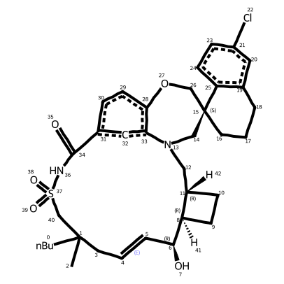 CCCCC1(C)C/C=C/[C@H](O)[C@@H]2CC[C@H]2CN2C[C@@]3(CCCc4cc(Cl)ccc43)COc3ccc(cc32)C(=O)NS(=O)(=O)C1